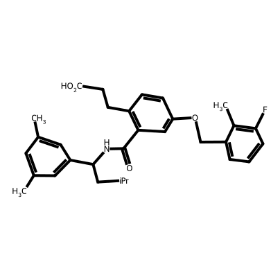 Cc1cc(C)cc(C(CC(C)C)NC(=O)c2cc(OCc3cccc(F)c3C)ccc2CCC(=O)O)c1